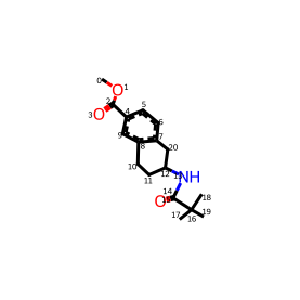 COC(=O)c1ccc2c(c1)CCC(NC(=O)C(C)(C)C)C2